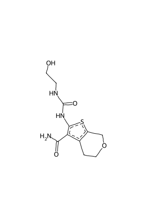 NC(=O)c1c(NC(=O)NCCO)sc2c1CCOC2